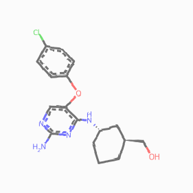 Nc1ncc(Oc2ccc(Cl)cc2)c(N[C@H]2CCC[C@H](CO)C2)n1